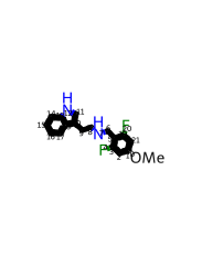 COc1cc(F)c(CNCCc2c[nH]c3ccccc23)c(F)c1